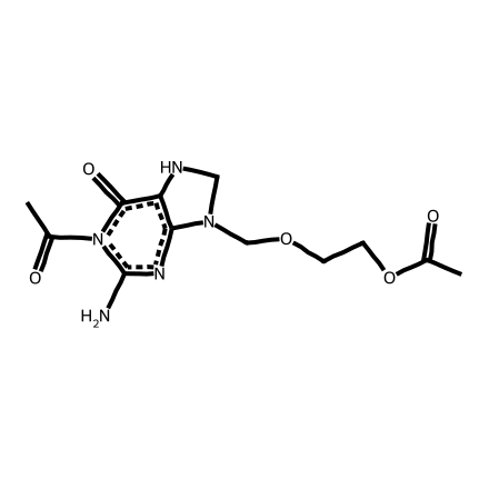 CC(=O)OCCOCN1CNc2c1nc(N)n(C(C)=O)c2=O